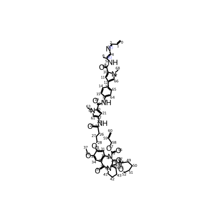 C=C/C=N\C=C(/C)NC(=O)c1cc(-c2ccc(NC(=O)c3cc(NC(=O)CCCOc4cc5c(cc4OC)C(=O)N4CCCC[C@H]4C(OC4CCCCO4)N5C(=O)OCC=C)cn3C)cc2)cn1C